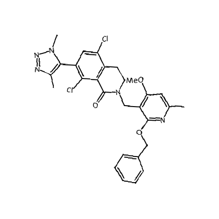 COc1cc(C)nc(OCc2ccccc2)c1CN1CCc2c(Cl)cc(-c3c(C)nnn3C)c(Cl)c2C1=O